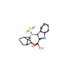 CC1(C)C2CCC1C(N(C1C(C(=O)O)=Nc3ccccc31)S(C)(=O)=O)C2=O